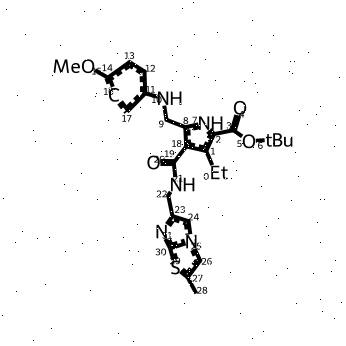 CCc1c(C(=O)OC(C)(C)C)[nH]c(CNc2ccc(OC)cc2)c1C(=O)NCc1cn2cc(C)sc2n1